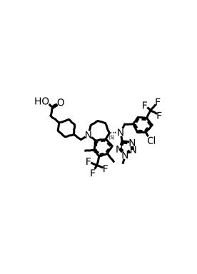 Cc1cc2c(c(C)c1C(F)(F)F)N(CC1CCC(CC(=O)O)CC1)CCC[C@@H]2N(Cc1cc(Cl)cc(C(F)(F)F)c1)c1nnn(C)n1